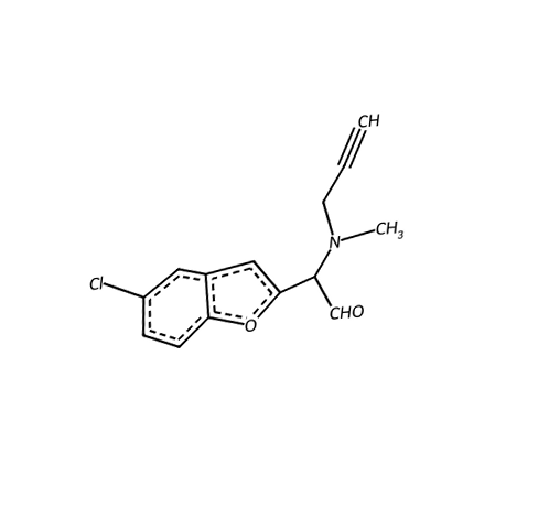 C#CCN(C)C(C=O)c1cc2cc(Cl)ccc2o1